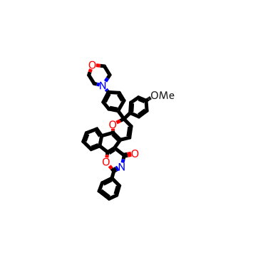 COc1ccc(C2(c3ccc(N4CCOCC4)cc3)C=Cc3c(c4ccccc4c4oc(-c5ccccc5)nc(=O)c34)O2)cc1